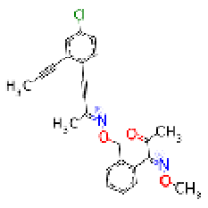 CC#Cc1cc(Cl)ccc1C#C/C(C)=N/OCc1ccccc1/C(=N\OC)C(C)=O